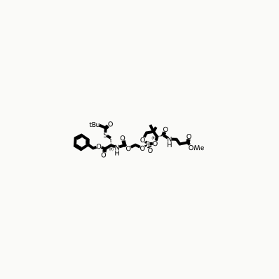 COC(=O)CCNC(=O)[C@@H]1O[P@@](=O)(OCOC(=O)N[C@@H](CSC(=O)C(C)(C)C)C(=O)OCc2ccccc2)OCC1(C)C